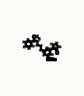 COc1cc(CCCCC(C)c2ccccc2)cc(C2CCCC2=O)c1